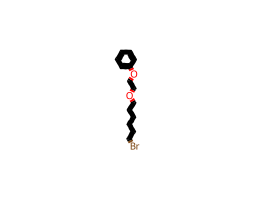 BrCCCCCCOCCOc1ccccc1